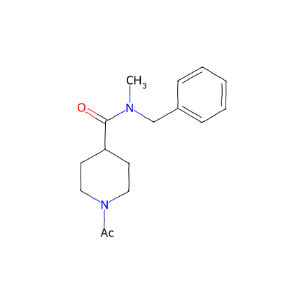 CC(=O)N1CCC(C(=O)N(C)Cc2ccccc2)CC1